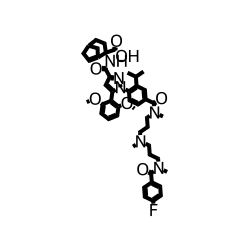 COc1cccc(OC)c1-c1cc(C(=O)NC2(C(=O)O)CCC3CC=C2C3)nn1-c1ccc(C(=O)N(C)CCCN(C)CCCN(C)C(=O)c2ccc(F)cc2)cc1C(C)C